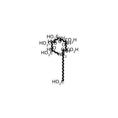 NCCCC[C@H](NC(=O)CC[C@H](NC(=O)CC[C@H](NC(=O)CC[C@H](NC(=O)CC[C@H](NC(=O)CCCCCCCCCCCCCCCCCCC(=O)O)C(=O)O)C(=O)O)C(=O)O)C(=O)O)C(=O)O